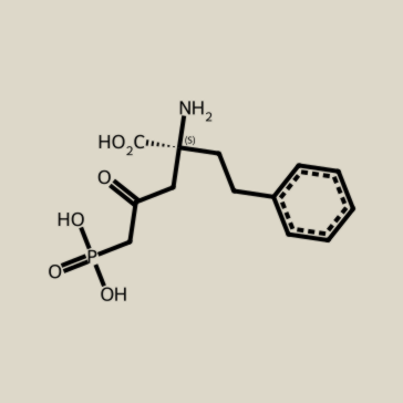 N[C@@](CCc1ccccc1)(CC(=O)CP(=O)(O)O)C(=O)O